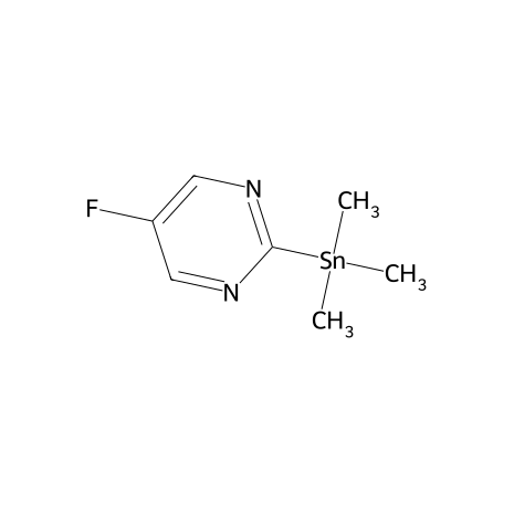 [CH3][Sn]([CH3])([CH3])[c]1ncc(F)cn1